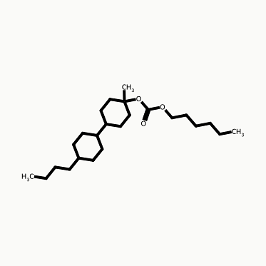 CCCCCCOC(=O)OC1(C)CCC(C2CCC(CCCC)CC2)CC1